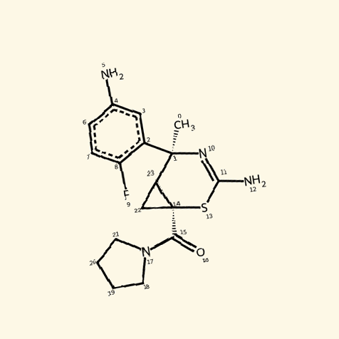 C[C@]1(c2cc(N)ccc2F)N=C(N)S[C@@]2(C(=O)N3CCCC3)CC21